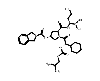 CCC[C@H](NC(=O)[C@@H]1C[C@@H](OC(=O)N2Cc3ccccc3C2)CN1C(=O)[C@@H](NC(=O)OCC(C)C)C1CCCCC1)B(O)O